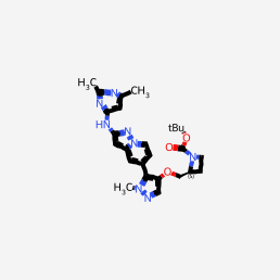 Cc1cc(Nc2cc3cc(-c4c(OC[C@@H]5CCN5C(=O)OC(C)(C)C)cnn4C)ccn3n2)nc(C)n1